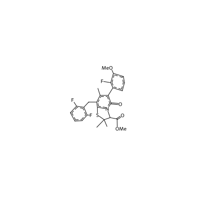 COC(=O)C1n2c(c(Cc3c(F)cccc3F)c(C)c(-c3cccc(OC)c3F)c2=O)SC1(C)C